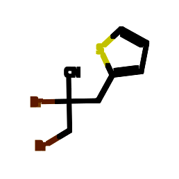 N#CC(Br)(CBr)Cc1cccs1